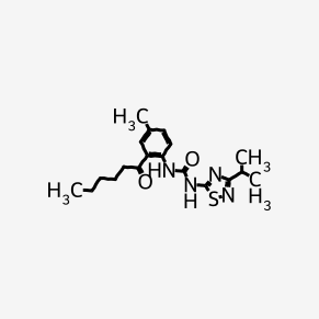 CCCCCC(=O)c1cc(C)ccc1NC(=O)Nc1nc(C(C)C)ns1